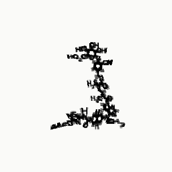 COc1nsc(NC(=O)N2C[C@H]3C[C@H](N(C)c4ncnc5c4ccn5C(=O)N(C)CCN(C)C(=O)OCc4ccc(O[C@@H]5O[C@H](C(=O)O)[C@@H](O)[C@H](O)[C@H]5O)c(C#N)c4)C[C@H]3C2)n1